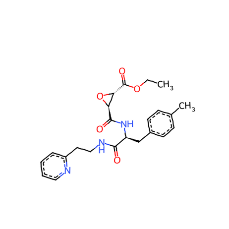 CCOC(=O)[C@H]1O[C@@H]1C(=O)N[C@@H](Cc1ccc(C)cc1)C(=O)NCCc1ccccn1